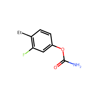 CCc1ccc(OC(N)=O)cc1F